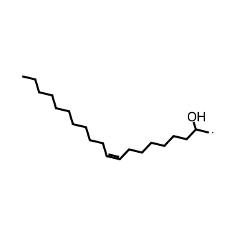 [CH2]C(O)CCCCCC/C=C\CCCCCCCCCC